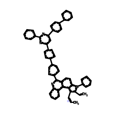 C=Cc1c(/C=C\C)c2c3c(ccc2n1-c1ccccc1)c(-c1ccc(-c2ccc(-c4cc(-c5ccc(-c6ccccc6)cc5)nc(-c5ccccc5)n4)cc2)cc1)nc1ccccc13